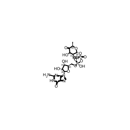 C[C@H]1O[C@H](OP(=O)(O)OP(=O)(O)OC[C@H]2O[C@@H](n3cnc4c(=O)[nH]c(N)nc43)[C@H](O)[C@@H]2O)[C@@H](O)[C@@H](O)C1=O